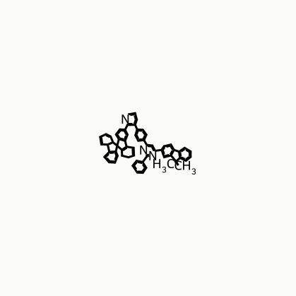 CC1(C)c2ccccc2-c2ccc(-c3cc(-c4ccc(-c5cccnc5-c5ccc6c(c5)C5=C(CCC=C5)C65c6ccccc6C6C=CC=CC65)cc4)nc(-c4ccccc4)n3)cc21